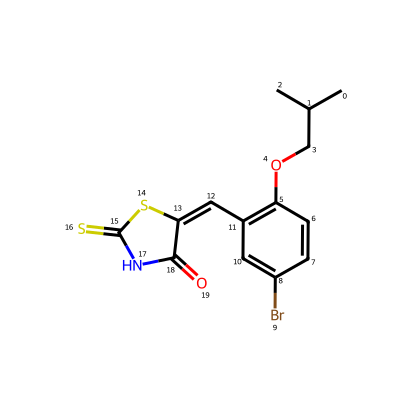 CC(C)COc1ccc(Br)cc1/C=C1/SC(=S)NC1=O